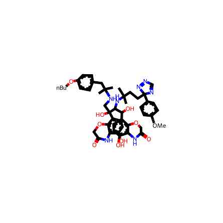 CCCCOc1ccc(CC(C)(C)NCC(O)(c2ccc(O)c3c2OCC(=O)N3)C(NC(C)(C)CCC2(c3ccc(OC)cc3)N=CN=N2)C(O)c2ccc(O)c3c2OCC(=O)N3)cc1